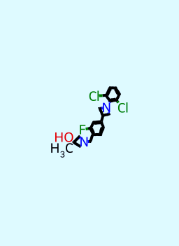 CC1(O)CN(Cc2ccc(C3CN(c4c(Cl)cccc4Cl)C3)cc2F)C1